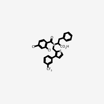 O=C(O)C(Cc1ccccc1)N(Cc1sccc1-c1cccc(C(F)(F)F)c1)C(=O)c1ccc(Cl)cc1Cl